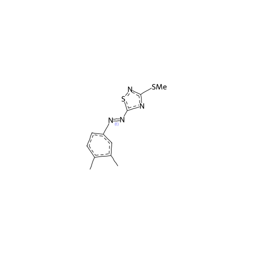 CSc1nsc(/N=N/c2ccc(C)c(C)c2)n1